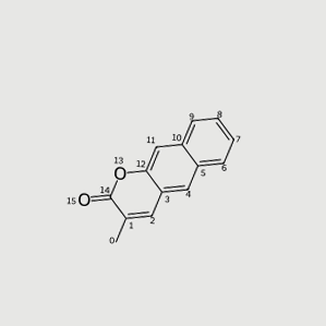 Cc1cc2cc3ccccc3cc2oc1=O